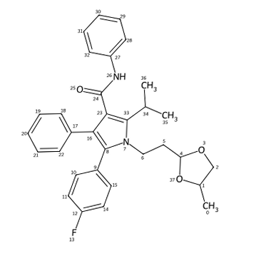 CC1COC(CCn2c(-c3ccc(F)cc3)c(-c3ccccc3)c(C(=O)Nc3ccccc3)c2C(C)C)O1